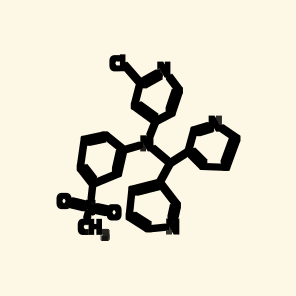 CS(=O)(=O)c1cccc(N(c2ccnc(Cl)c2)C(c2cccnc2)c2cccnc2)c1